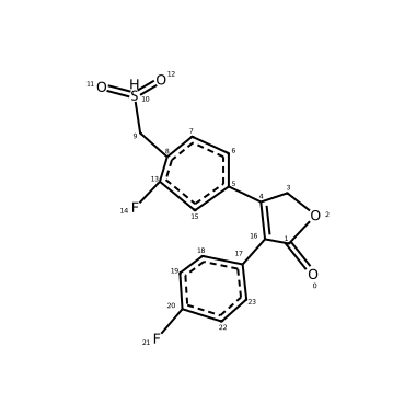 O=C1OCC(c2ccc(C[SH](=O)=O)c(F)c2)=C1c1ccc(F)cc1